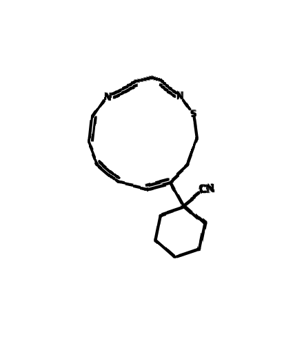 N#CC1(C2=CC=CC=CN=CC=NSCC2)CCCCC1